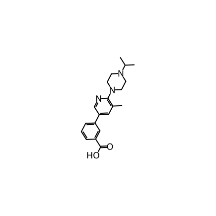 Cc1cc(-c2cccc(C(=O)O)c2)cnc1N1CCN(C(C)C)CC1